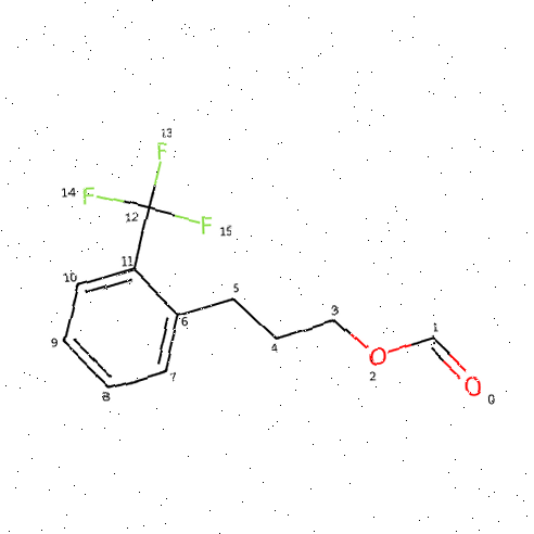 O=[C]OCCCc1ccccc1C(F)(F)F